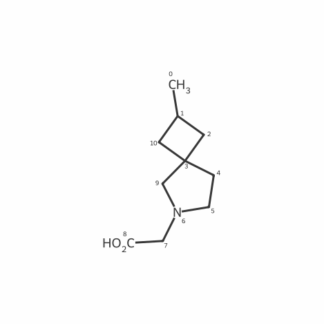 CC1CC2(CCN(CC(=O)O)C2)C1